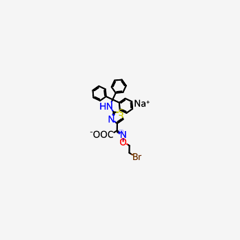 O=C([O-])/C(=N\OCCBr)c1csc(NC(c2ccccc2)(c2ccccc2)c2ccccc2)n1.[Na+]